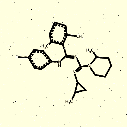 Cc1cccc(C)c1C(=NC(=NC1CC1C)N1CCCCC1C)Nc1ccc(F)cc1